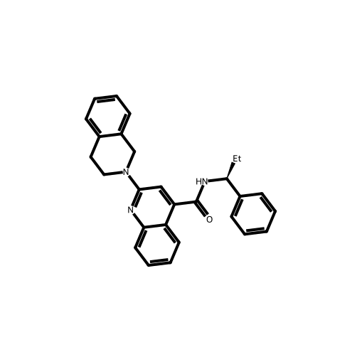 CC[C@H](NC(=O)c1cc(N2CCc3ccccc3C2)nc2ccccc12)c1ccccc1